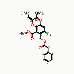 CO/C=C(/Oc1ccc(F)c(COC(=O)Cc2ccccc2)c1C(=O)OC(C)(C)C)C(=O)OC